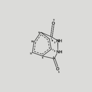 O=C1NNC(=O)c2ccc1cc2